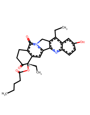 CCCCC(=O)O[C@]1(CC)C(=O)CCc2c1cc1n(c2=O)Cc2c-1nc1ccc(O)cc1c2CC